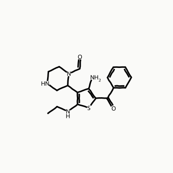 CCNc1sc(C(=O)c2ccccc2)c(N)c1C1CNCCN1C=O